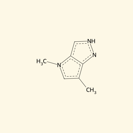 Cc1cn(C)c2c[nH]nc12